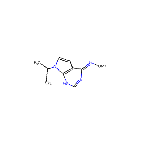 CO/N=c1\nc[nH]c2c1ccn2C(C)C(F)(F)F